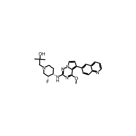 COc1nc(N[C@H]2CCN(CC(C)(C)O)C[C@H]2F)nn2ccc(-c3ccc4ncccc4c3)c12